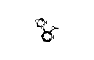 COc1ncccc1N1COC=N1